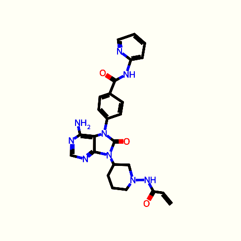 C=CC(=O)NN1CCCC(n2c(=O)n(-c3ccc(C(=O)Nc4ccccn4)cc3)c3c(N)ncnc32)C1